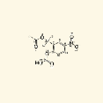 CC(=O)OC(C)(C)c1cc([N+](=O)[O-])ccc1OC(=O)O